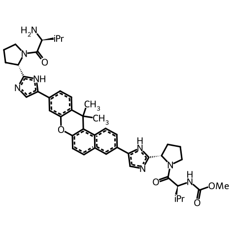 COC(=O)N[C@H](C(=O)N1CCC[C@H]1c1ncc(-c2ccc3c4c(ccc3c2)Oc2cc(-c3cnc([C@@H]5CCCN5C(=O)[C@@H](N)C(C)C)[nH]3)ccc2C4(C)C)[nH]1)C(C)C